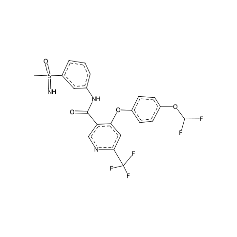 CS(=N)(=O)c1cccc(NC(=O)c2cnc(C(F)(F)F)cc2Oc2ccc(OC(F)F)cc2)c1